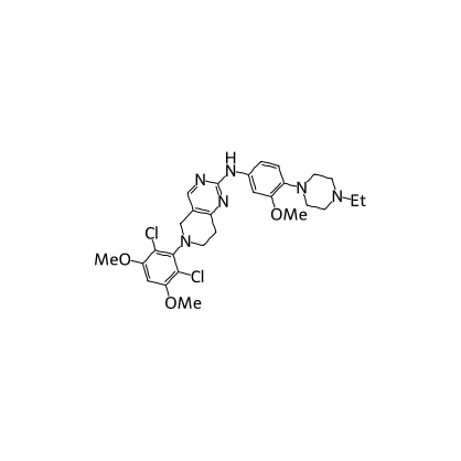 CCN1CCN(c2ccc(Nc3ncc4c(n3)CCN(c3c(Cl)c(OC)cc(OC)c3Cl)C4)cc2OC)CC1